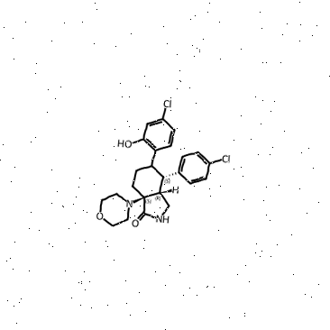 O=C1NC[C@H]2[C@@H](c3ccc(Cl)cc3)C(c3ccc(Cl)cc3O)CC[C@@]12N1CCOCC1